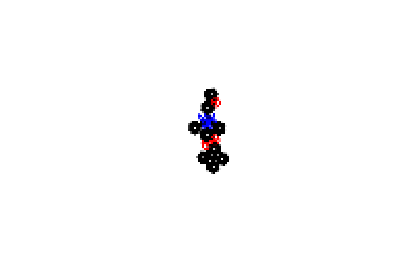 c1ccc(-c2nc(-c3ccc4c(c3)oc3ccccc34)nc(-c3ccccc3-c3cccc4c3Oc3ccc5c(c3O4)-c3ccccc3C5(c3ccccc3)c3ccccc3)n2)cc1